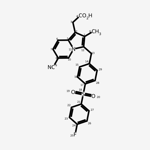 Cc1c(CC(=O)O)c2ccc(C#N)cn2c1Cc1ccc(S(=O)(=O)c2ccc(F)cc2)cc1